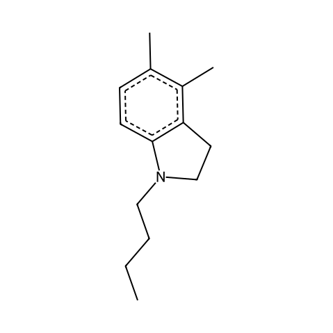 CCCCN1CCc2c1ccc(C)c2C